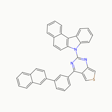 c1cc(-c2ccc3ccccc3c2)cc(-c2nc(-n3c4ccccc4c4c5ccccc5ccc43)nc3cscc23)c1